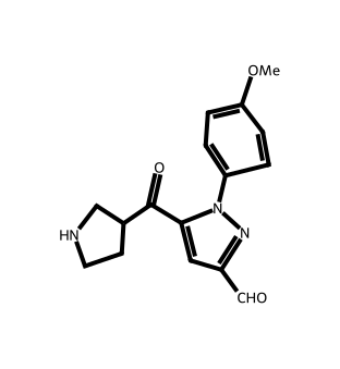 COc1ccc(-n2nc(C=O)cc2C(=O)C2CCNC2)cc1